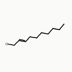 CCCCCCC/C=C/CCl